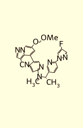 COCOc1cc(-c2ccc(N(C)[C@@H](C)c3ccc(-n4cc(F)cn4)nc3)nc2)c2c(C#N)cnn2c1